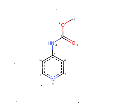 [CH2]OC(=O)Nc1ccncc1